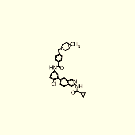 CN1CCN(Cc2ccc(C(=O)Nc3ccc(Cl)c(-c4ccc5cc(NC(=O)C6CC6)ncc5c4)c3)cc2)CC1